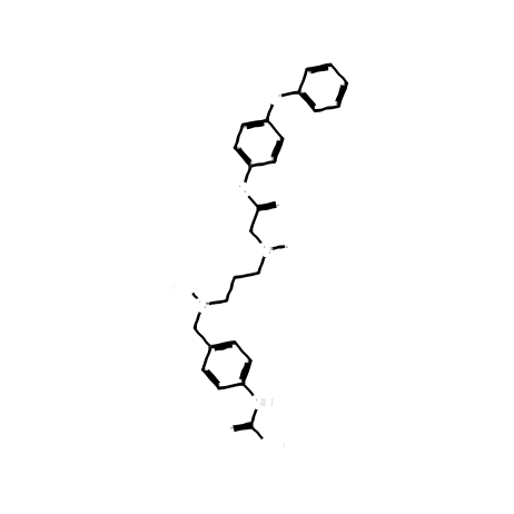 CN(CCCN(C)Cc1ccc(NC(=O)C(C)(C)C)cc1)CC(=O)Nc1ccc(Oc2ccccc2)cc1